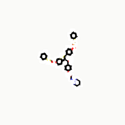 O=C(c1ccc(OCCN2CCCCC2)cc1)c1c(-c2ccc(OCSc3ccccc3)cc2)sc2cc(OCSc3ccccc3)ccc12